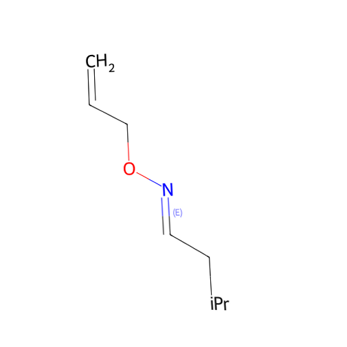 C=CCO/N=C/CC(C)C